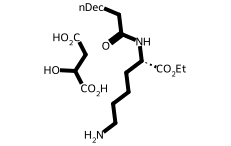 CCCCCCCCCCCC(=O)N[C@@H](CCCCN)C(=O)OCC.O=C(O)CC(O)C(=O)O